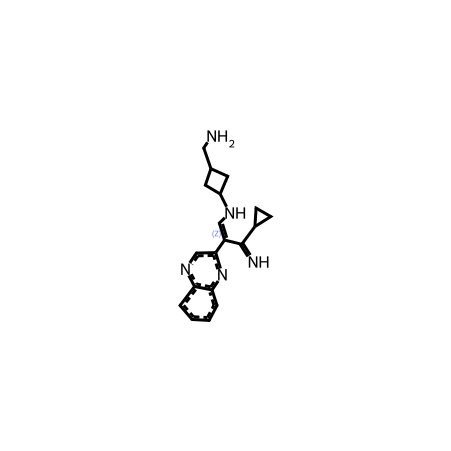 N=C(/C(=C\NC1CC(CN)C1)c1cnc2ccccc2n1)C1CC1